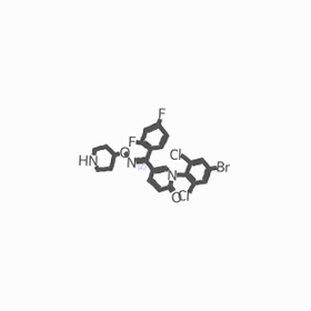 O=c1ccc(/C(=N/OC2CCNCC2)c2ccc(F)cc2F)cn1-c1c(Cl)cc(Br)cc1Cl